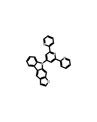 c1ccc(-c2cc(-n3c4ccccc4c4cc5ccoc5cc43)cc(-c3ccccn3)n2)nc1